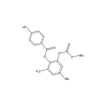 CCCCOC(=O)Oc1cc(C(C)(C)C)cc(C)c1OC(=O)c1ccc(CCC)cc1